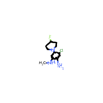 CNc1cc(N2CCC(F)CC2)c(Cl)cc1N